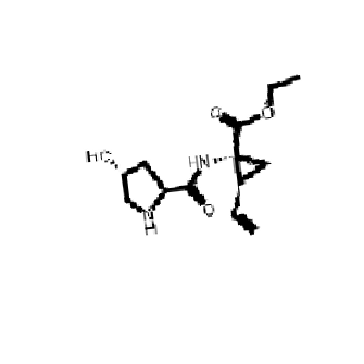 C=C[C@@H]1C[C@]1(NC(=O)[C@@H]1C[C@@H](O)CN1)C(=O)OCC